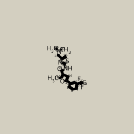 Cc1oc(-c2cccc(C(F)(F)F)c2)cc1C(=O)Nc1nc(CN(C)C)cs1